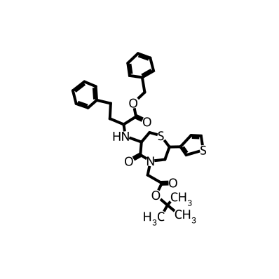 CC(C)(C)OC(=O)CN1CC(c2ccsc2)SCC(NC(CCc2ccccc2)C(=O)OCc2ccccc2)C1=O